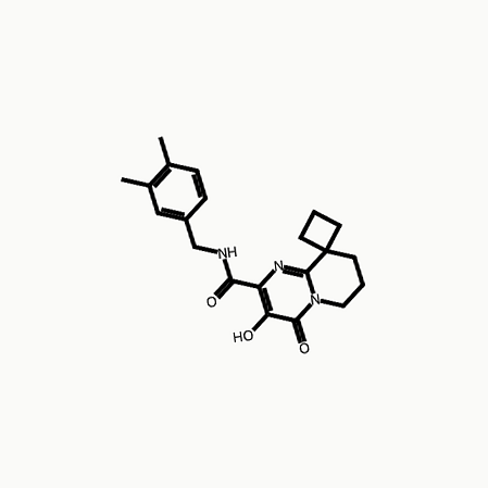 Cc1ccc(CNC(=O)c2nc3n(c(=O)c2O)CCCC32CCC2)cc1C